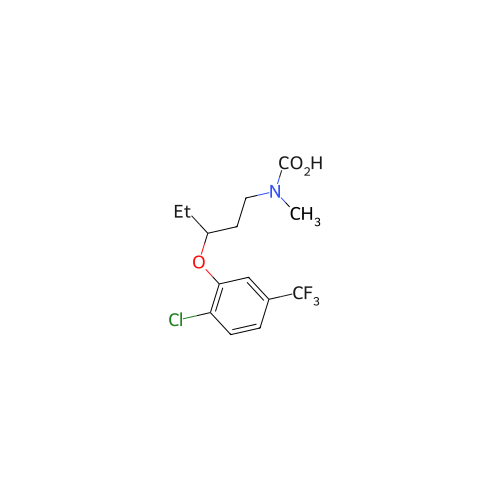 CCC(CCN(C)C(=O)O)Oc1cc(C(F)(F)F)ccc1Cl